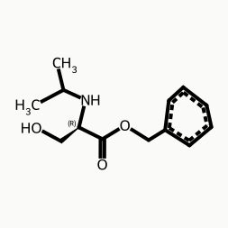 CC(C)N[C@H](CO)C(=O)OCc1ccccc1